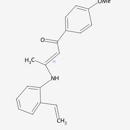 C=Cc1ccccc1N/C(C)=C/C(=O)c1ccc(OC)cc1